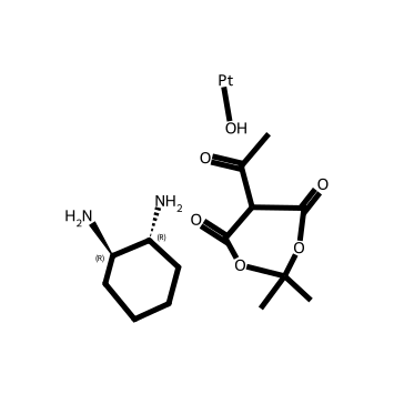 CC(=O)C1C(=O)OC(C)(C)OC1=O.N[C@@H]1CCCC[C@H]1N.[OH][Pt]